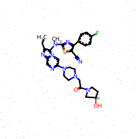 CCc1nc2cnc(N3CCN(CC(=O)N4CC[C@@H](O)C4)CC3)cn2c1N(C)c1nc(-c2ccc(F)cc2)c(C#N)s1